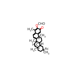 CC(=O)[C@]1(C)CC[C@]2(C)CC[C@]3(C)C4=CC=C5C(=CC(=O)C(OC=O)=C5C)[C@]4(C)CC[C@@]3(C)[C@@H]2C1